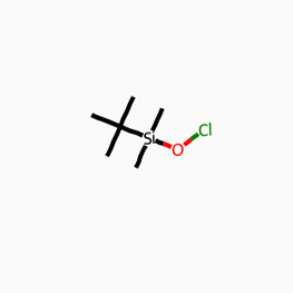 CC(C)(C)[Si](C)(C)OCl